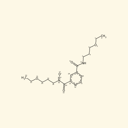 CCOCCCNC(=O)c1ccnc(C(=O)[NH+]([O-])CCCOCC)c1